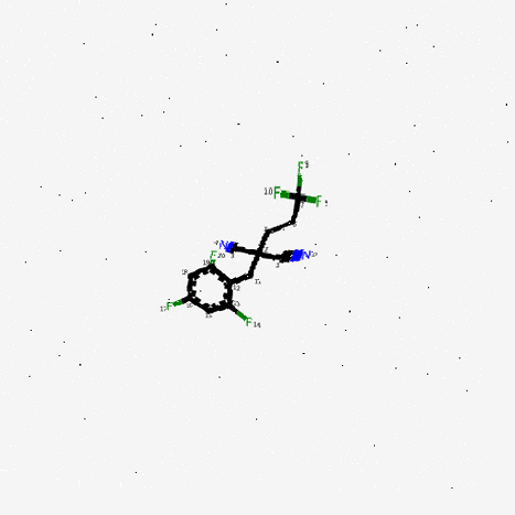 N#CC(C#N)(CCC(F)(F)F)Cc1c(F)cc(F)cc1F